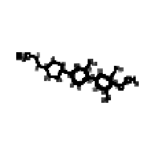 CCCC1CCC(c2ccc(-c3cc(F)c(OC)c(F)c3)c(F)c2)CC1